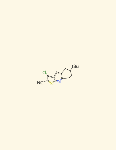 CC(C)(C)C1CCc2nc3sc(C#N)c(Cl)c3cc2C1